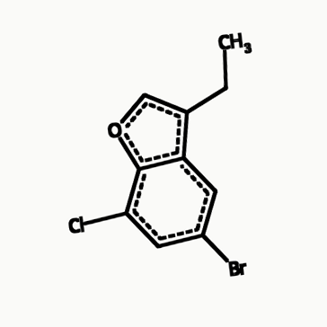 CCc1coc2c(Cl)cc(Br)cc12